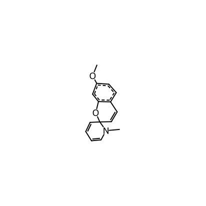 COc1ccc2c(c1)OC1(C=CC=CN1C)C=C2